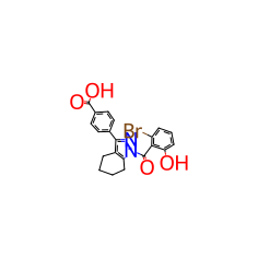 O=C(O)c1ccc(-c2nn(C(=O)c3c(O)cccc3Br)c3c2CCCC3)cc1